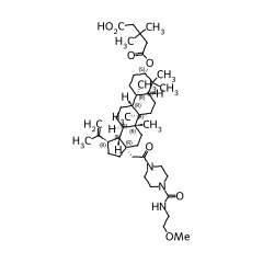 C=C(C)[C@@H]1CC[C@]2(CC(=O)N3CCN(C(=O)NCCOC)CC3)CC[C@]3(C)[C@H](CC[C@@H]4[C@@]5(C)CC[C@H](OC(=O)CC(C)(C)CC(=O)O)C(C)(C)[C@@H]5CC[C@]43C)[C@@H]12